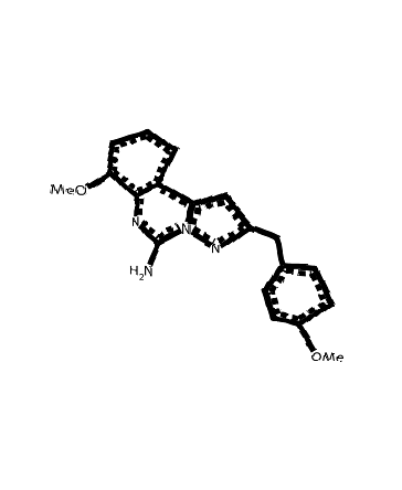 COc1ccc(Cc2cc3c4cccc(OC)c4nc(N)n3n2)cc1